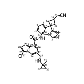 Cn1cnnc1C1(c2cccc(NC(=O)c3cc(CNC4(C)CC4)cn4c(Cl)cnc34)c2)CC(CC#N)C1